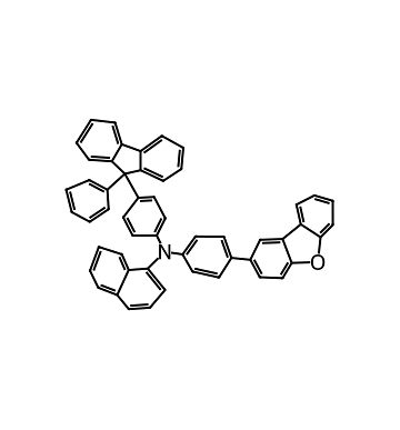 c1ccc(C2(c3ccc(N(c4ccc(-c5ccc6oc7ccccc7c6c5)cc4)c4cccc5ccccc45)cc3)c3ccccc3-c3ccccc32)cc1